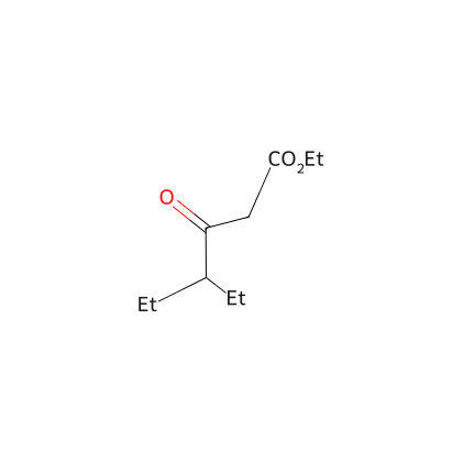 CCOC(=O)CC(=O)C(CC)CC